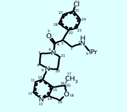 CC(C)NCC(C(=O)N1CCN(c2ccnc3c2[C@H](C)OC3)CC1)c1ccc(Cl)cc1